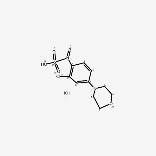 [KH].[N-]=[N+](c1ccc(N2CCOCC2)cc1Cl)S(=O)(=O)O